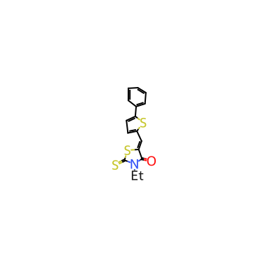 CCN1C(=O)C(=Cc2ccc(-c3ccccc3)s2)SC1=S